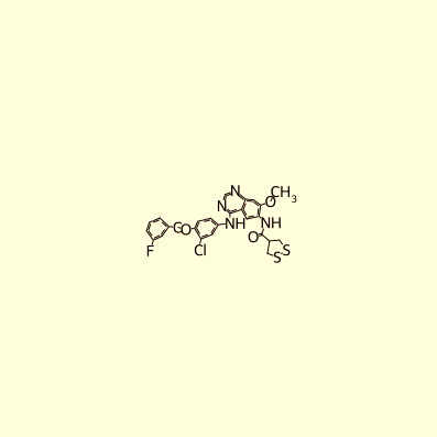 COc1cc2ncnc(Nc3ccc(OCc4cccc(F)c4)c(Cl)c3)c2cc1NC(=O)C1CSSC1